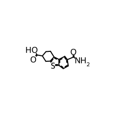 NC(=O)c1ccc2sc3c(c2c1)CCC(C(=O)O)C3